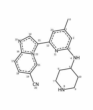 Cc1cc(NC2CCNCC2)nc(-c2cnc3ccc(C#N)cn23)c1